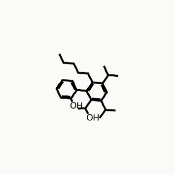 CCCCCc1c(C(C)C)cc(C(C)C)c(C(C)O)c1-c1ccccc1O